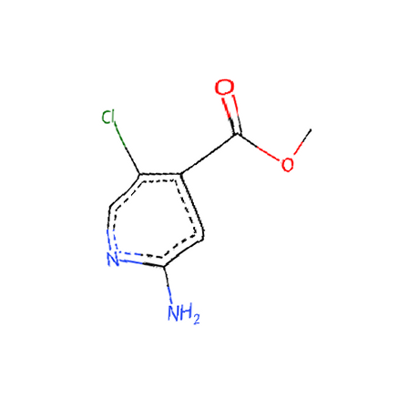 COC(=O)c1cc(N)ncc1Cl